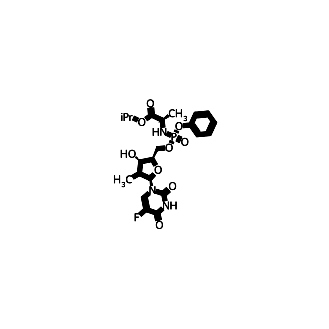 CC(C)OC(=O)[C@@H](C)NP(=O)(OC[C@H]1O[C@@H](n2cc(F)c(=O)[nH]c2=O)C(C)[C@@H]1O)Oc1ccccc1